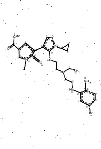 COC(=O)c1cc(-c2cnn(C3CC3)c2OCCN(CCNc2cc(Br)ccc2N)CC(F)(F)F)c(=O)n(C)c1